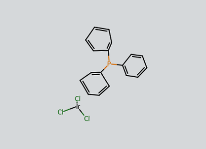 [Cl][Ir]([Cl])[Cl].c1ccc(P(c2ccccc2)c2ccccc2)cc1